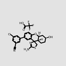 N#Cc1cc(Cl)cc(-c2ccc3c(c2)C2(CSC(N)=N2)[C@H]2CC[C@H](O)C[C@@H]2O3)c1.O=C(O)C(F)(F)F